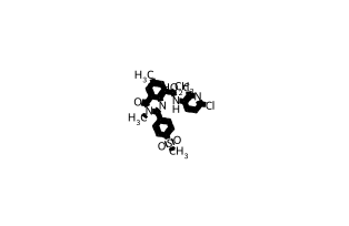 Cc1cc(C(C)Nc2ccc(Cl)nc2C(=O)O)c2nc(-c3ccc(S(C)(=O)=O)cc3)n(C)c(=O)c2c1